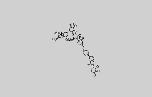 COc1cc(-c2cn(C)c(=O)c3cc(C(=O)N[C@@H]4CCN(CCN5CCN(c6ccc7c(c6)C(=O)N(C6CCC(=O)NC6=O)C7)CC5)CC4(F)F)sc23)cc(OC)c1CN(C)C